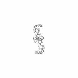 CCCCOC1CCC(C2CC[C@]3(CC2)C(=O)[C@@]2(CC[C@@H](C4CCC(OCCCC)CC4)CC2)C3(Cl)Cl)CC1